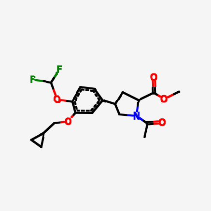 COC(=O)C1CC(c2ccc(OC(F)F)c(OCC3CC3)c2)CN1C(C)=O